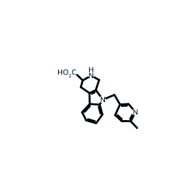 Cc1ccc(Cn2c3c(c4ccccc42)CC(C(=O)O)NC3)cn1